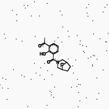 CC(=O)c1cccc(C(=O)N2CC3CCC(C2)O3)c1O